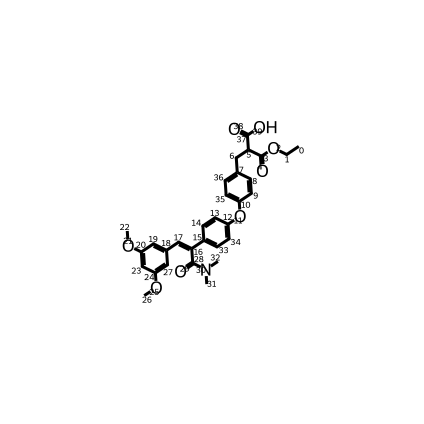 CCOC(=O)C(Cc1ccc(Oc2ccc(C(=Cc3cc(OC)cc(OC)c3)C(=O)N(C)C)cc2)cc1)C(=O)O